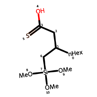 CCCCCCC(CC(O)=S)C[Si](OC)(OC)OC